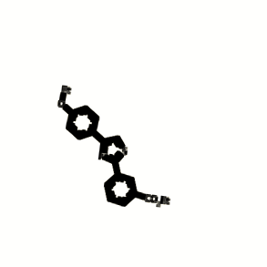 CCOC(=O)c1cccc(-c2nc(-c3ccc(OCC)cc3)cs2)c1